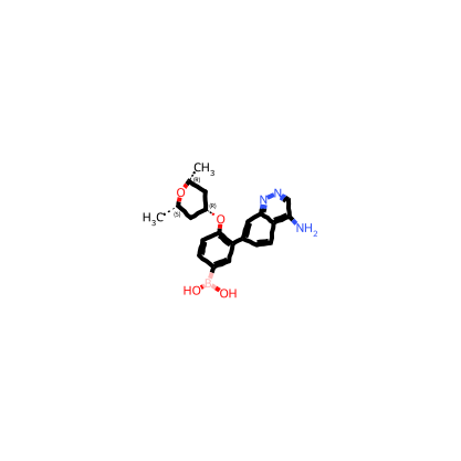 C[C@@H]1C[C@H](Oc2ccc(B(O)O)cc2-c2ccc3c(N)cnnc3c2)C[C@H](C)O1